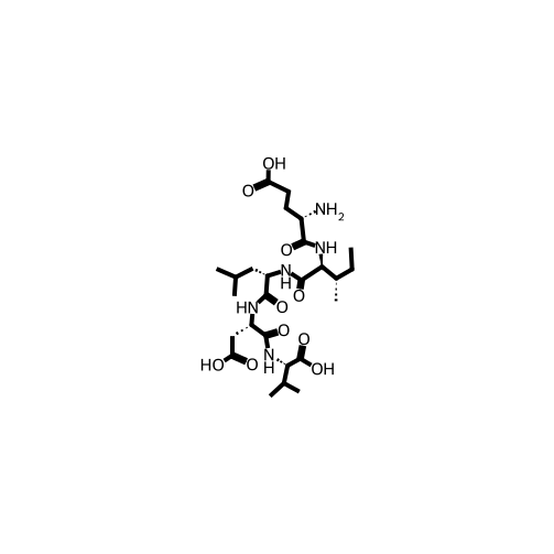 CC[C@H](C)[C@H](NC(=O)[C@@H](N)CCC(=O)O)C(=O)N[C@@H](CC(C)C)C(=O)N[C@@H](CC(=O)O)C(=O)N[C@H](C(=O)O)C(C)C